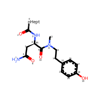 CCCCCCCC(=O)N[C@H](CC(N)=O)C(=O)N(C)CCc1ccc(O)cc1